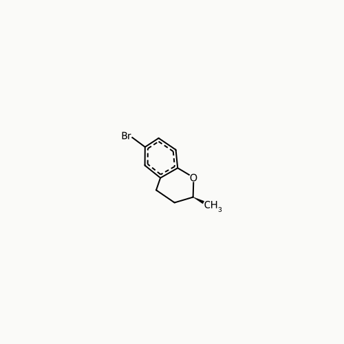 C[C@H]1CCc2cc(Br)ccc2O1